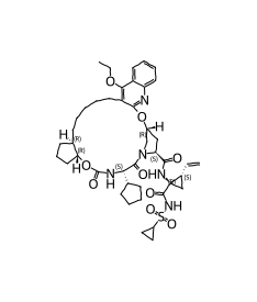 C=C[C@@H]1C[C@]1(NC(=O)[C@@H]1C[C@@H]2CN1C(=O)[C@H](C1CCCC1)NC(=O)O[C@@H]1CCC[C@H]1CCCCCc1c(nc3ccccc3c1OCC)O2)C(=O)NS(=O)(=O)C1CC1